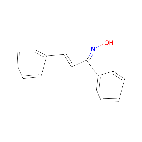 ON=C(C=Cc1ccccc1)c1ccccc1